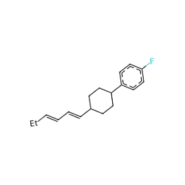 CCC=CC=CC1CCC(c2ccc(F)cc2)CC1